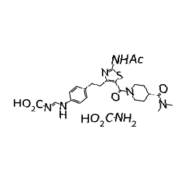 CC(=O)Nc1nc(CCc2ccc(NC=NC(=O)O)cc2)c(C(=O)N2CCC(C(=O)N(C)C)CC2)s1.NC(=O)O